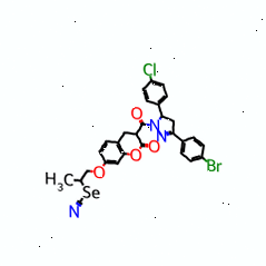 CC(COc1ccc2c(c1)OC(=O)C(C(=O)N1N=C(c3ccc(Br)cc3)CC1c1ccc(Cl)cc1)C2)[Se]C#N